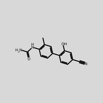 Cc1cc(-c2ccc(C#N)cc2O)ccc1NC(N)=O